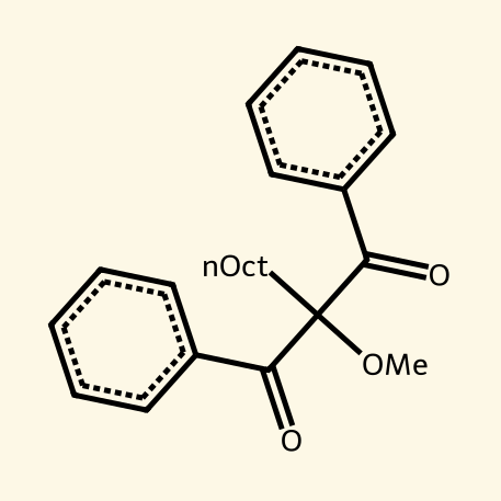 CCCCCCCCC(OC)(C(=O)c1ccccc1)C(=O)c1ccccc1